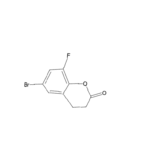 O=C1CCc2cc(Br)cc(F)c2O1